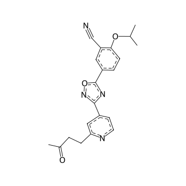 CC(=O)CCc1cc(-c2noc(-c3ccc(OC(C)C)c(C#N)c3)n2)ccn1